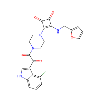 O=C(C(=O)N1CCN(c2c(NCc3ccco3)c(=O)c2=O)CC1)c1c[nH]c2cccc(F)c12